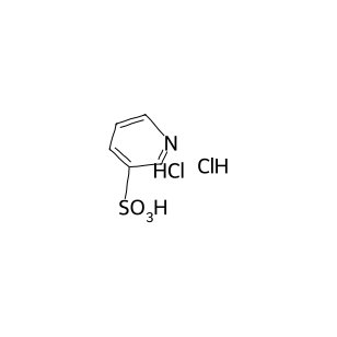 Cl.Cl.O=S(=O)(O)c1cccnc1